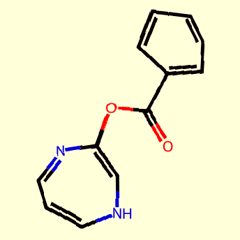 O=C(OC1=CNC=CC=N1)c1ccccc1